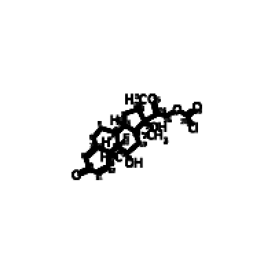 C[C@@H]1C[C@H]2[C@@H]3CCC4=CC(=O)C=C[C@]4(C)[C@@]3(F)[C@@H](O)C[C@]2(C)[C@@]1(O)C(=O)COC(=O)Cl